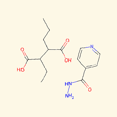 CCCC(C(=O)O)C(CC)C(=O)O.NNC(=O)c1ccncc1